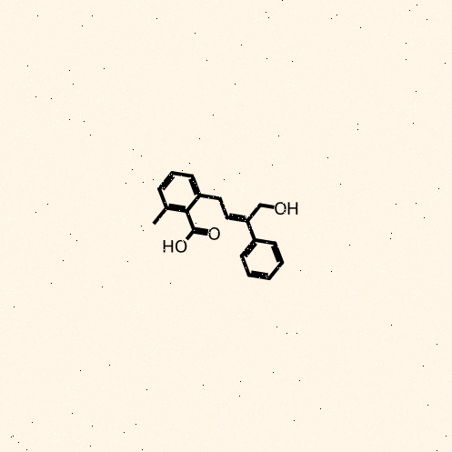 Cc1cccc(CC=C(CO)c2ccccc2)c1C(=O)O